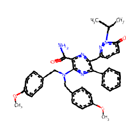 COc1ccc(CN(Cc2ccc(OC)cc2)c2nc(-c3ccccc3)c(-c3ccc(=O)n(C(C)C)n3)nc2C(N)=O)cc1